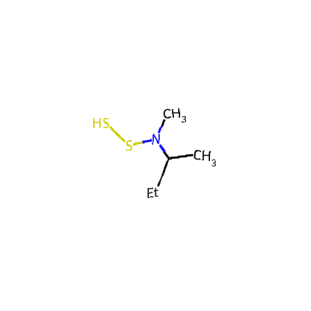 CCC(C)N(C)SS